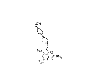 COc1ccc(N2CCN(CCC(OC(N)=O)c3ccc(C)cc3C)CC2)cc1